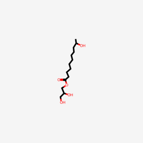 CC(O)CCCCCCCCC(=O)OCC(O)CO